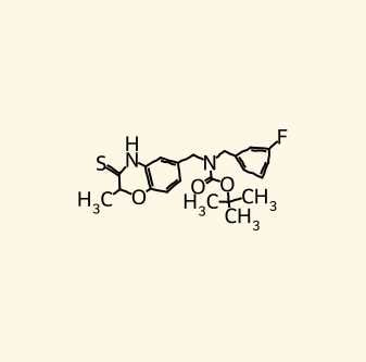 CC1Oc2ccc(CN(Cc3cccc(F)c3)C(=O)OC(C)(C)C)cc2NC1=S